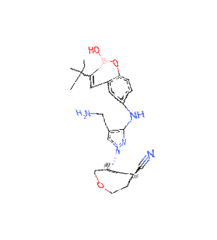 CC(C)(C)C1=Cc2cc(Nc3nn([C@H]4COCC[C@@H]4C#N)cc3CN)ccc2OB1O